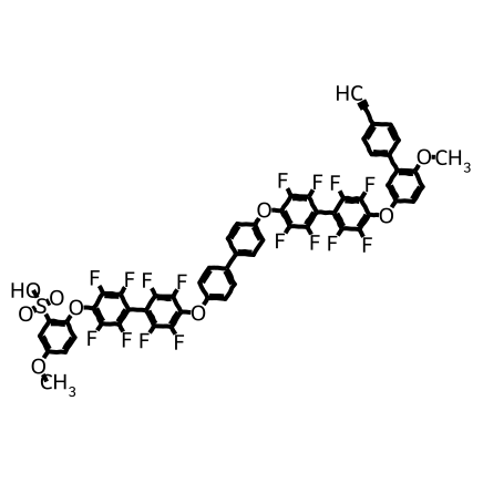 C#Cc1ccc(-c2cc(Oc3c(F)c(F)c(-c4c(F)c(F)c(Oc5ccc(-c6ccc(Oc7c(F)c(F)c(-c8c(F)c(F)c(Oc9ccc(OC)cc9S(=O)(=O)O)c(F)c8F)c(F)c7F)cc6)cc5)c(F)c4F)c(F)c3F)ccc2OC)cc1